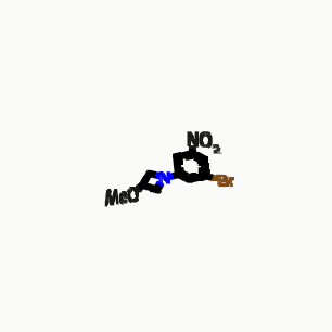 COC1CN(c2cc(Br)cc([N+](=O)[O-])c2)C1